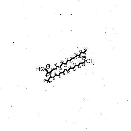 CC(C)CCCCCCCCCCCCCCC(=O)O.CCCCCCCCCCCCCCCCC(C)C(=O)O